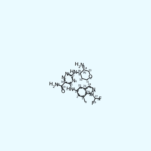 Cc1cc(Nc2nc(N[C@@H]3CCOC[C@@H]3N)nnc2C(N)=O)cc2cnn(C(F)F)c12